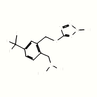 CN(C)Cc1ccc(C(F)(F)F)cc1CNc1nnn(C)n1